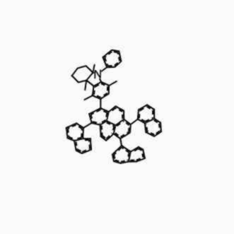 Cc1cc(-c2cc(-c3cccc4ccccc34)c3ccc4c(-c5cccc6ccccc56)cc(-c5cccc6ccccc56)c5ccc2c3c54)c(C)c2c1N(c1ccccc1)C1(C)CCCCC21C